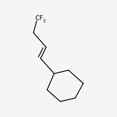 FC(F)(F)C/C=C/C1CCCCC1